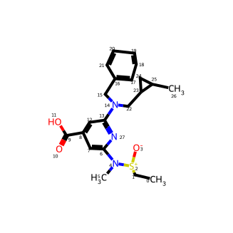 CC[S+]([O-])N(C)c1cc(C(=O)O)cc(N(Cc2ccccc2)CC2CC2C)n1